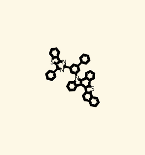 c1ccc(-c2cc(-c3nc(-c4ccccc4)c4sc5ccccc5c4n3)cc(-n3c4ccccc4c4c5c6ccc7ccccc7c6sc5c5ccccc5c43)c2)cc1